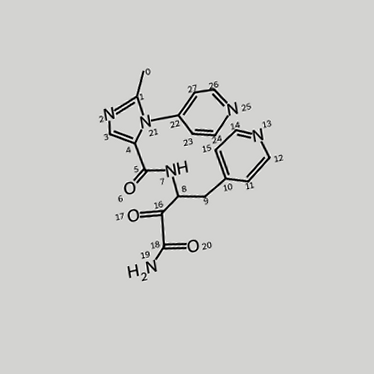 Cc1ncc(C(=O)NC(Cc2ccncc2)C(=O)C(N)=O)n1-c1ccncc1